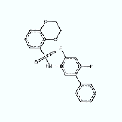 O=S(=O)(Nc1cc(-c2ccccc2)c(F)cc1F)c1cccc2c1OCCO2